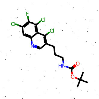 CC(C)(C)OC(=O)NCCCc1cnc2cc(Cl)c(F)c(Cl)c2c1Cl